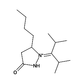 CCCCC1CC(=O)N[N+]1=C(C(C)C)C(C)C